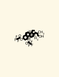 C[C@H](CO)[C@H]1CC[C@H]2[C@@H]3CC=C4C[C@@H](OC(=O)C(F)(F)F)C[C@H](OC(=O)C(F)(F)F)[C@]4(C)[C@H]3CC[C@]12C